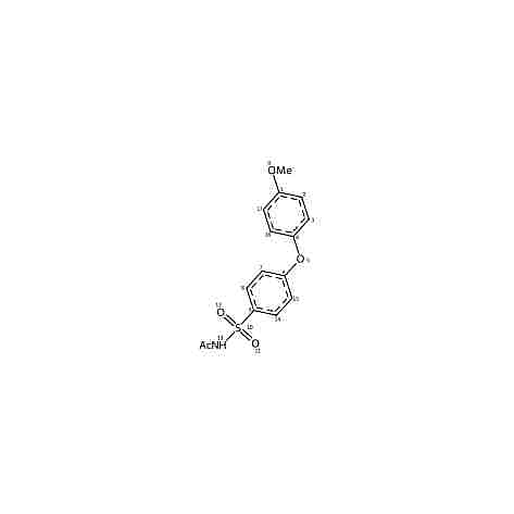 COc1ccc(Oc2ccc(S(=O)(=O)NC(C)=O)cc2)cc1